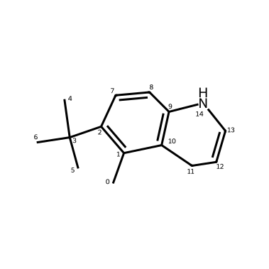 Cc1c(C(C)(C)C)ccc2c1CC=CN2